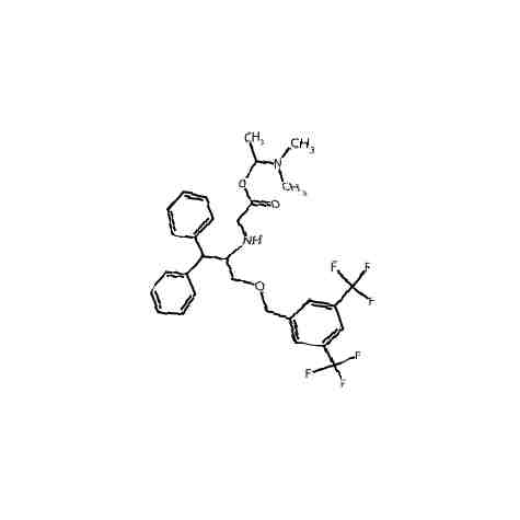 CC(OC(=O)CNC(COCc1cc(C(F)(F)F)cc(C(F)(F)F)c1)C(c1ccccc1)c1ccccc1)N(C)C